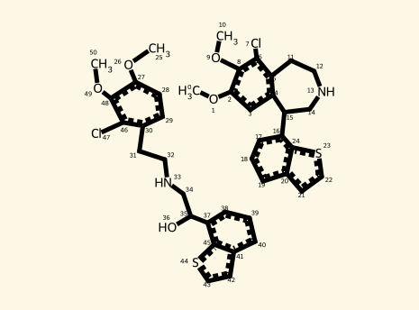 COc1cc2c(c(Cl)c1OC)CCNCC2c1cccc2ccsc12.COc1ccc(CCNCC(O)c2cccc3ccsc23)c(Cl)c1OC